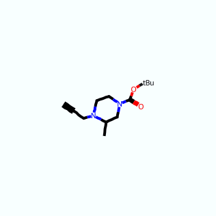 C#CCN1CCN(C(=O)OC(C)(C)C)CC1C